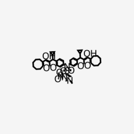 CN1C=C(S(=O)(=O)N(c2ccc(C(c3c(O)c4c(oc3=O)CCCCCC4)C3CC3)cc2)c2ccc(C(c3c(O)c4c(oc3=O)CCCCCC4)C3CC3)cc2)N([N+](=O)[O-])C1